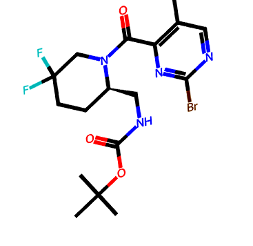 Cc1cnc(Br)nc1C(=O)N1CC(F)(F)CC[C@@H]1CNC(=O)OC(C)(C)C